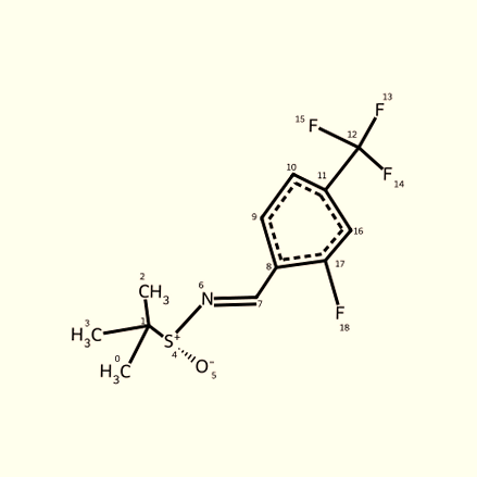 CC(C)(C)[S@@+]([O-])/N=C/c1ccc(C(F)(F)F)cc1F